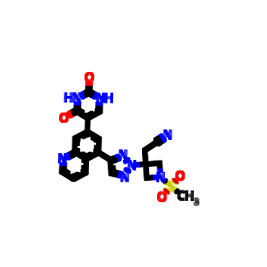 CS(=O)(=O)N1CC(CC#N)(n2ncc(-c3cc(-c4c[nH]c(=O)[nH]c4=O)cc4ncccc34)n2)C1